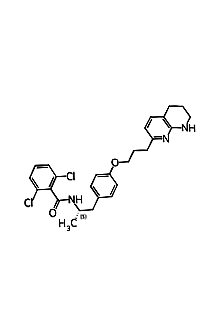 C[C@@H](Cc1ccc(OCCCc2ccc3c(n2)NCCC3)cc1)NC(=O)c1c(Cl)cccc1Cl